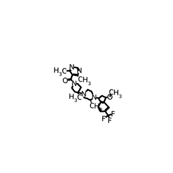 COC1CC(N2CCN(C3(C)CCN(C(=O)c4c(C)ncnc4C)CC3)C[C@@H]2C)c2ccc(C(F)(F)F)cc21